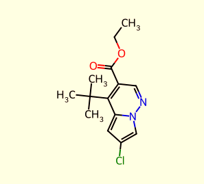 CCOC(=O)c1cnn2cc(Cl)cc2c1C(C)(C)C